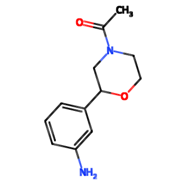 CC(=O)N1CCOC(c2cccc(N)c2)C1